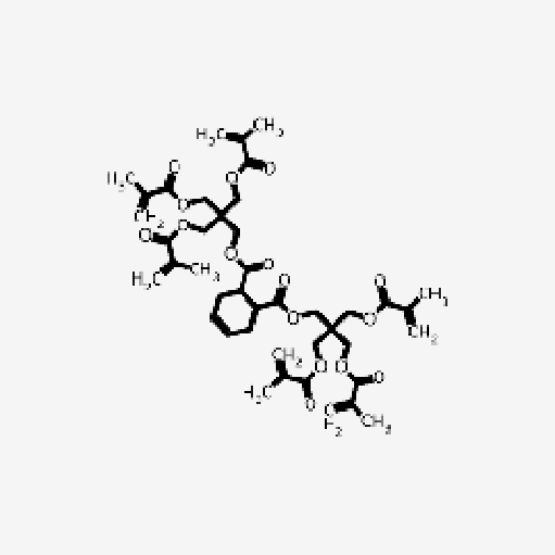 C=C(C)C(=O)OCC(COC(=O)C(=C)C)(COC(=O)C(=C)C)COC(=O)C1CC=CCC1C(=O)OCC(COC(=O)C(=C)C)(COC(=O)C(=C)C)COC(=O)C(=C)C